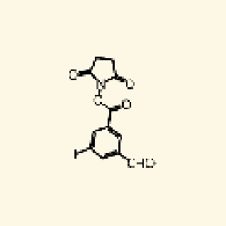 O=[C]c1cc(I)cc(C(=O)ON2C(=O)CCC2=O)c1